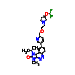 CC(C)n1c(=O)n(C)c2nnc3ccc(-c4ccc(COCCN5CC[C@@H](OC(F)F)C5)nc4)cc3c21